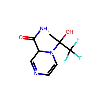 CC(O)(N1C=CN=CC1C(N)=O)C(F)(F)F